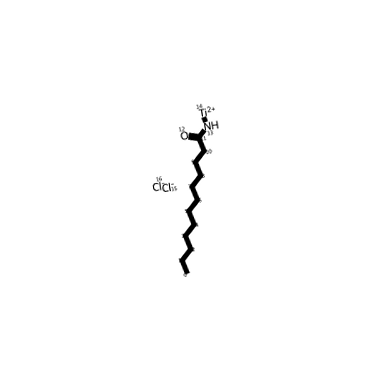 CCCCCCCCCCCC(=O)[NH][Ti+2].[Cl-].[Cl-]